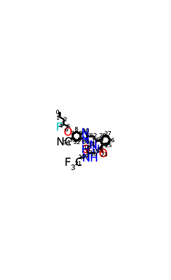 C=CCC(F)COc1cc2nc(Cc3nn(CC(=O)NCC(F)(F)F)c(=O)c4ccccc34)[nH]c2cc1C#N